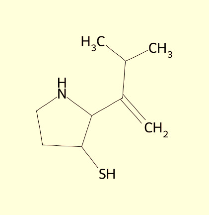 C=C(C(C)C)C1NCCC1S